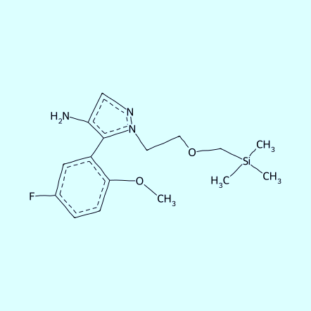 COc1ccc(F)cc1-c1c(N)cnn1CCOC[Si](C)(C)C